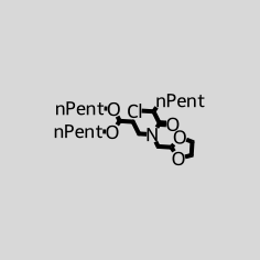 CCCCCOC(CCN(CC1OCCO1)C(=O)C(Cl)CCCCC)OCCCCC